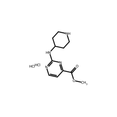 COC(=O)c1ccnc(NC2CCNCC2)n1.Cl.Cl